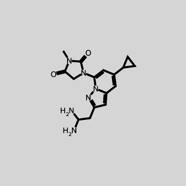 CN1C(=O)CN(c2cc(C3CC3)cc3cc(CC(N)N)nn23)C1=O